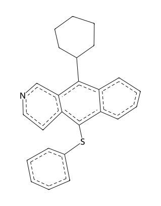 c1ccc(Sc2c3ccccc3c(C3CCCCC3)c3cnccc23)cc1